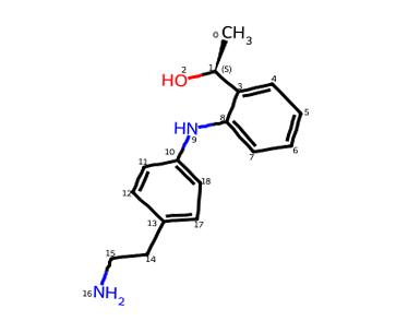 C[C@H](O)c1ccccc1Nc1ccc(CCN)cc1